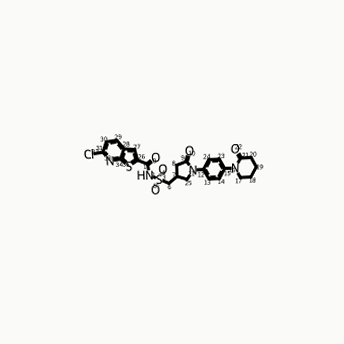 O=C(NS(=O)(=O)CC1CC(=O)N(c2ccc(N3CCCCC3=O)cc2)C1)c1cc2ccc(Cl)nc2s1